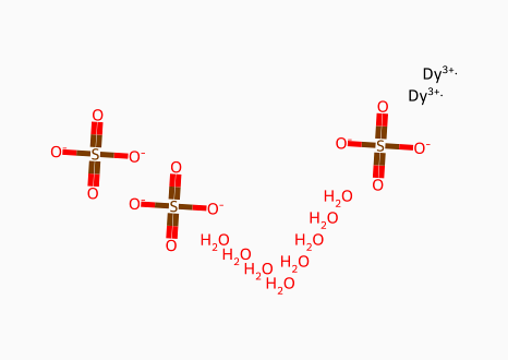 O.O.O.O.O.O.O.O.O=S(=O)([O-])[O-].O=S(=O)([O-])[O-].O=S(=O)([O-])[O-].[Dy+3].[Dy+3]